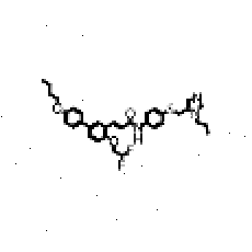 CCCCOc1ccc(-c2ccc(OCC(F)F)c(/C=C/C(=O)Nc3ccc(SCc4cncn4CCC)cc3)c2)cc1